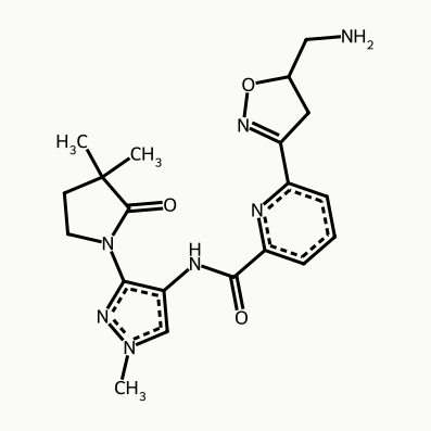 Cn1cc(NC(=O)c2cccc(C3=NOC(CN)C3)n2)c(N2CCC(C)(C)C2=O)n1